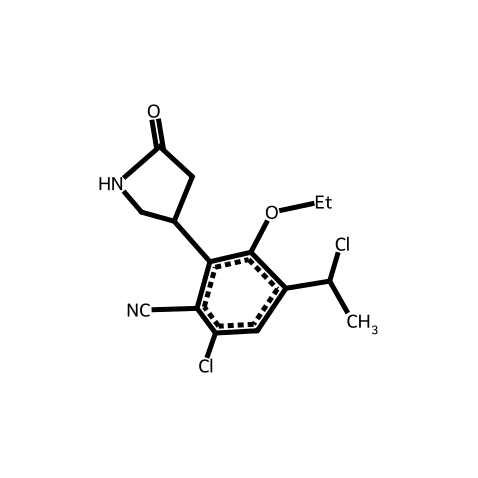 CCOc1c(C(C)Cl)cc(Cl)c(C#N)c1C1CNC(=O)C1